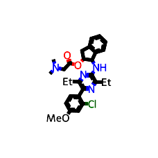 CCc1nc(-c2ccc(OC)cc2Cl)c(CC)nc1NC1c2ccccc2CC1OC(=O)CN(C)C